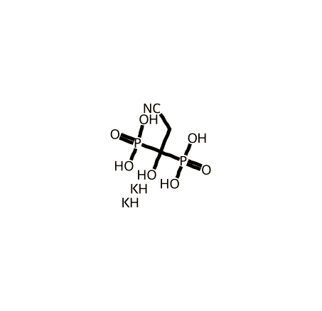 N#CCC(O)(P(=O)(O)O)P(=O)(O)O.[KH].[KH]